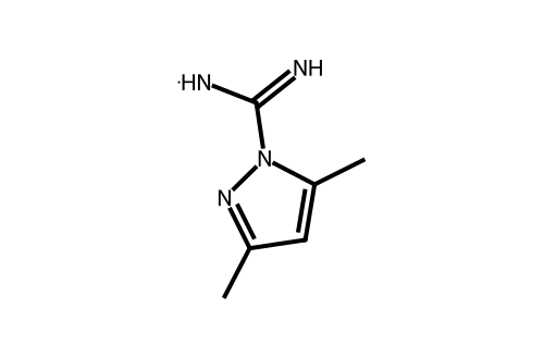 Cc1cc(C)n(C([NH])=N)n1